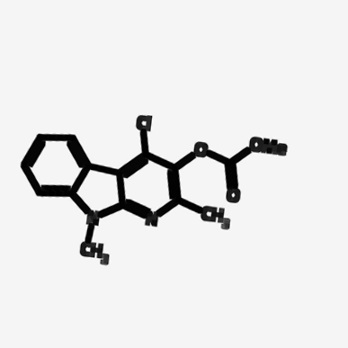 COC(=O)Oc1c(C)nc2c(c1Cl)c1ccccc1n2C